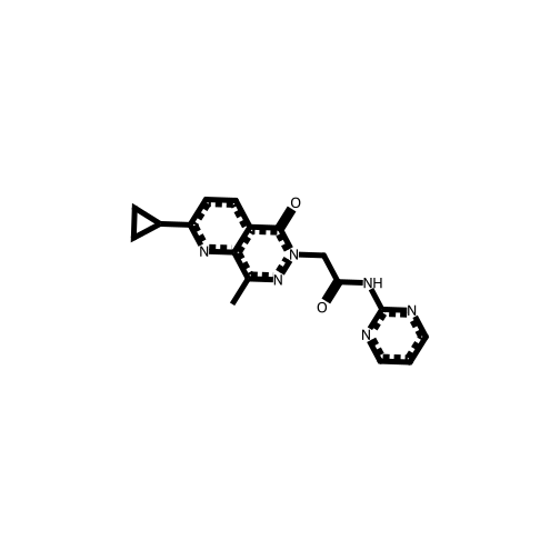 Cc1nn(CC(=O)Nc2ncccn2)c(=O)c2ccc(C3CC3)nc12